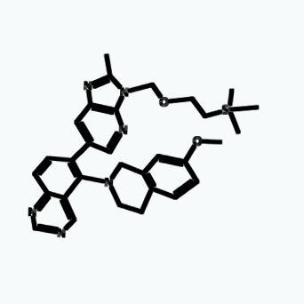 COc1ccc2c(c1)CN(c1c(-c3cnc4c(c3)nc(C)n4COCC[Si](C)(C)C)ccc3ncncc13)CC2